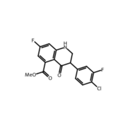 COC(=O)c1cc(F)cc2c1C(=O)C(c1ccc(Cl)c(F)c1)CN2